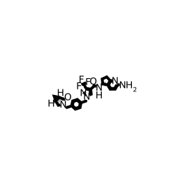 Nc1ccc2c(n1)CC[C@H]2NC(=O)c1cn(Cc2ccc(CN3C[C@@H]4C[C@@H]4C3=O)cc2)nc1C(F)(F)F